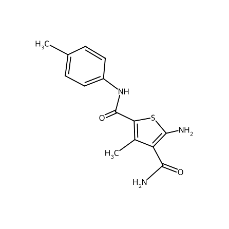 Cc1ccc(NC(=O)c2sc(N)c(C(N)=O)c2C)cc1